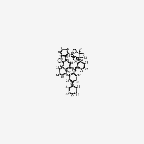 CC1(C)OB(c2cccc3oc4c5ccccc5c(N(c5ccccc5)c5ccc(-c6ccccc6)cc5)cc4c23)OC1(C)C